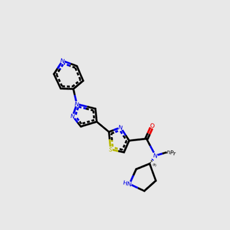 CCCN(C(=O)c1csc(-c2cnn(-c3ccncc3)c2)n1)[C@@H]1CCNC1